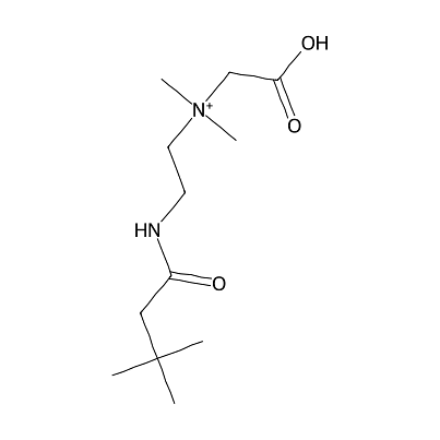 CC(C)(C)CC(=O)NCC[N+](C)(C)CC(=O)O